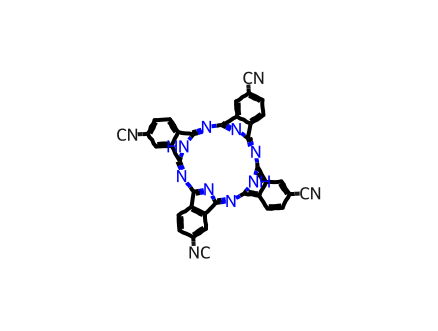 [C-]#[N+]c1ccc2c(c1)-c1nc-2nc2[nH]c(nc3nc(nc4[nH]c(n1)c1ccc(C#N)cc41)-c1ccc(C#N)cc1-3)c1ccc([N+]#[C-])cc21